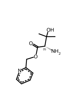 CC(C)(O)[C@H](N)C(=O)OCc1ccccn1